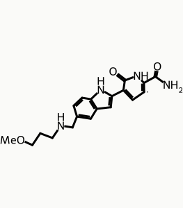 COCCCNCc1ccc2[nH]c(-c3c[c]c(C(N)=O)[nH]c3=O)cc2c1